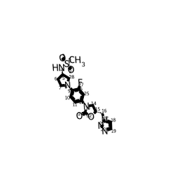 CS(=O)(=O)N[C@H]1CCN(c2ccc(N3C[C@H](Cn4ccnn4)OC3=O)cc2F)C1